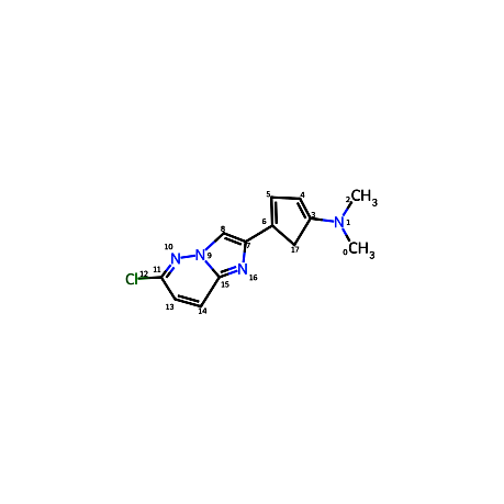 CN(C)C1=CC=C(c2cn3nc(Cl)ccc3n2)C1